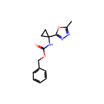 Cc1nnc(C2(NC(=O)OCc3ccccc3)CC2)o1